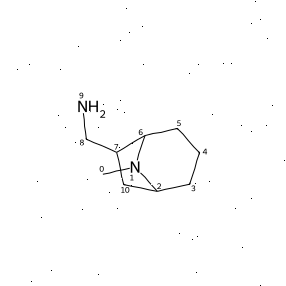 CN1C2CCCC1C(CN)C2